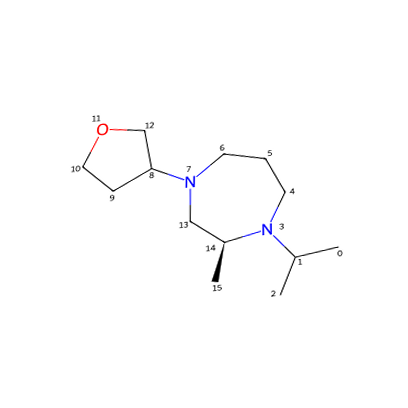 CC(C)N1CCCN(C2CCOC2)C[C@@H]1C